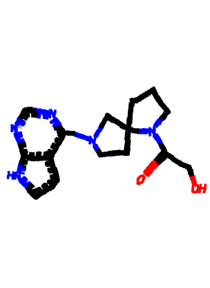 O=C(CO)N1CCCC12CCN(c1ncnc3[nH]ccc13)C2